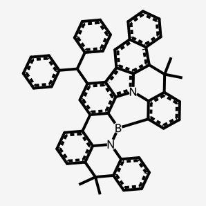 CC1(C)c2ccccc2N2B3c4cccc5c4-n4c6c(c7ccccc7cc6c6c(C(c7ccccc7)c7ccccc7)cc(c3c64)-c3cccc1c32)C5(C)C